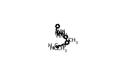 Cc1ccc(OCCCC(C)(C)O)cc1-c1ccnc(NC(=O)c2nnc(Cc3ccccc3)[nH]2)c1